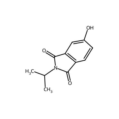 CC(C)N1C(=O)c2ccc(O)cc2C1=O